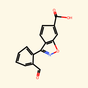 O=Cc1ccccc1-c1noc2cc(C(=O)O)ccc12